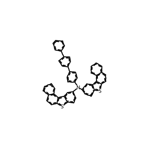 c1ccc(-c2ccc(-c3ccc(N(c4ccc5sc6ccc7ccccc7c6c5c4)c4ccc5sc6ccc7ccccc7c6c5c4)cc3)cc2)cc1